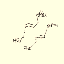 CCCCCC/C=C/C(=O)O.CCCCCC/C=C/C=O